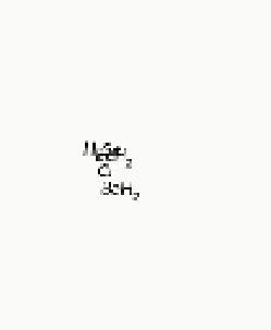 [BaH2].[BeH2].[Cr].[SeH2]